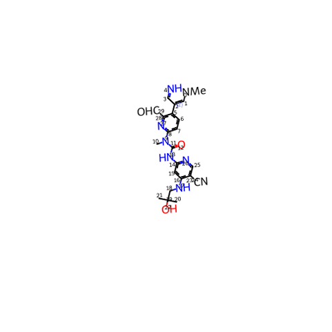 CN/C=C(\C=N)c1ccc(N(C)C(=O)Nc2cc(NCC(C)(C)O)c(C#N)cn2)nc1C=O